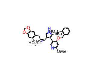 CCCCc1[nH]cc(/C=C(\Cc2cc3c(cc2OC)OCO3)C(=O)O)c1-c1cnc(OC)cc1OCc1ccccc1C(=O)O